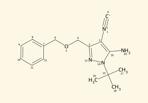 [C-]#[N+]c1c(COCc2ccccc2)nn(C(C)(C)C)c1N